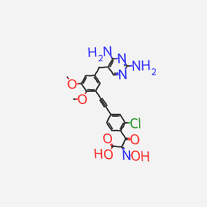 COc1cc(Cc2cnc(N)nc2N)cc(C#Cc2ccc(C(=O)/C(=N\O)C(=O)O)c(Cl)c2)c1OC